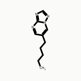 CCCCCc1cnc2ncnn2c1